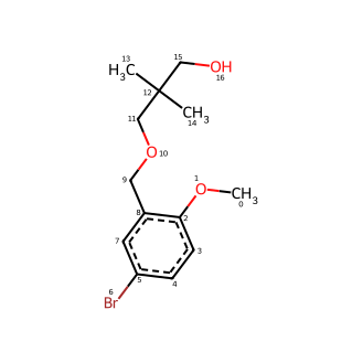 COc1ccc(Br)cc1COCC(C)(C)CO